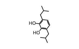 CC(C)Cc1ccc(CC(C)C)c(O)c1O